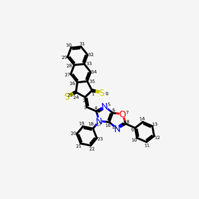 S=C1C(=Cc2nc3oc(-c4ccccc4)nc3n2-c2ccccc2)C(=S)c2cc3ccccc3cc21